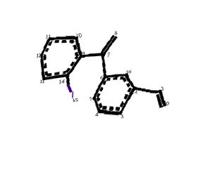 C=Cc1cccc(C(=C)c2ccccc2I)c1